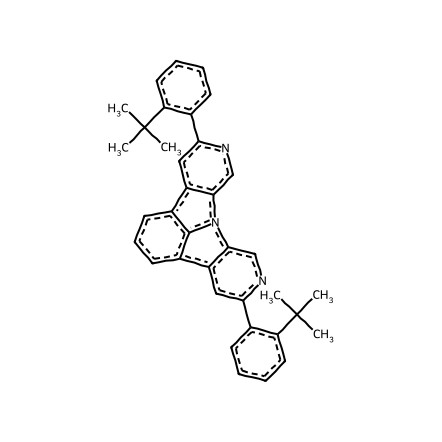 CC(C)(C)c1ccccc1-c1cc2c3cccc4c5cc(-c6ccccc6C(C)(C)C)ncc5n(c2cn1)c34